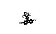 O=C(O)CCC1(CCC(=O)O)c2cc(Br)ccc2-c2ccc(Br)cc21